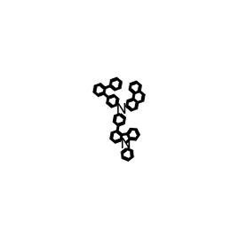 c1ccc(-c2ccccc2-c2ccc(N(c3ccc(-c4cccc5c4c4ccccc4n5-c4ccccc4)cc3)c3ccc4ccc5ccccc5c4c3)cc2)cc1